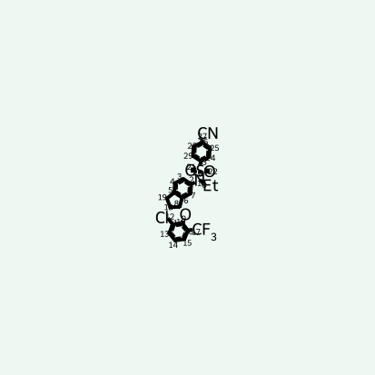 CCN(c1ccc2c(c1)C(Oc1c(Cl)cccc1C(F)(F)F)CC2)S(=O)(=O)c1ccc(C#N)cc1